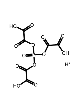 O=C(O)C(=O)OP(=O)(OC(=O)C(=O)O)OC(=O)C(=O)O.[H+]